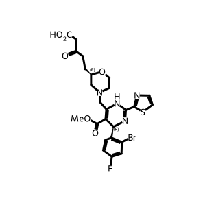 COC(=O)C1=C(CN2CCO[C@H](CCC(=O)CC(=O)O)C2)NC(c2nccs2)=N[C@H]1c1ccc(F)cc1Br